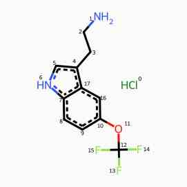 Cl.NCCc1c[nH]c2ccc(OC(F)(F)F)cc12